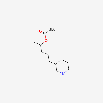 CC(CCCC1CCC[N]C1)OC(=O)C(C)(C)C